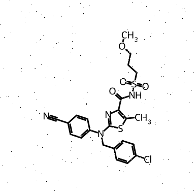 COCCCS(=O)(=O)NC(=O)c1nc(N(Cc2ccc(Cl)cc2)c2ccc(C#N)cc2)sc1C